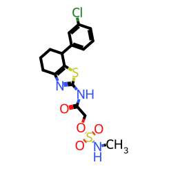 CNS(=O)(=O)OCC(=O)Nc1nc2c(s1)C(c1cccc(Cl)c1)CCC2